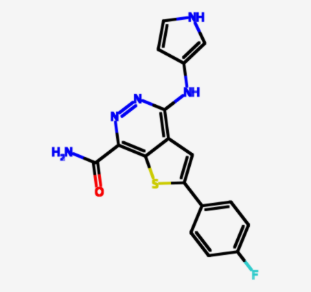 NC(=O)c1nnc(Nc2cc[nH]c2)c2cc(-c3ccc(F)cc3)sc12